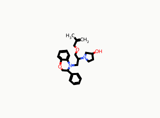 C=C(C)COCC(CN1c2ccccc2OCC1c1ccccc1)N1CCC(O)C1